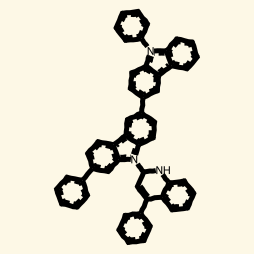 C1=C(c2ccccc2)c2ccccc2NC1n1c2ccc(-c3ccc4c(c3)c3ccccc3n4-c3ccccc3)cc2c2ccc(-c3ccccc3)cc21